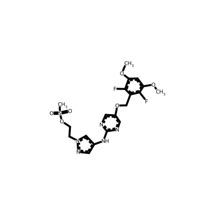 COc1cc(OC)c(F)c(COc2cnc(Nc3cnn(CCOS(C)(=O)=O)c3)nc2)c1F